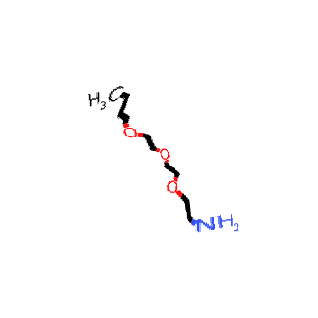 CCCCOCCOCCOCCN